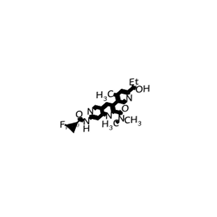 CC[C@@H](O)c1cc(C)c(-c2cc3cnc(NC(=O)[C@H]4C[C@H]4F)cc3nc2C(=O)N(C)C)cn1